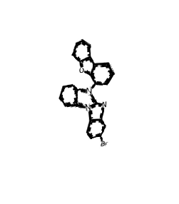 Brc1ccc2c(c1)nc1n(-c3cccc4c3oc3ccccc34)c3ccccc3n21